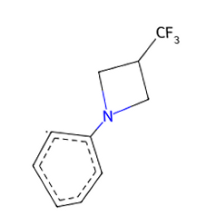 FC(F)(F)C1CN(c2[c]cccc2)C1